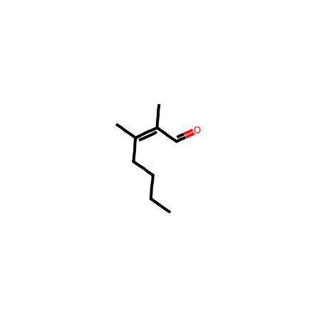 CCCCC(C)=C(C)C=O